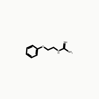 N=C(N)NCCOc1ccccc1